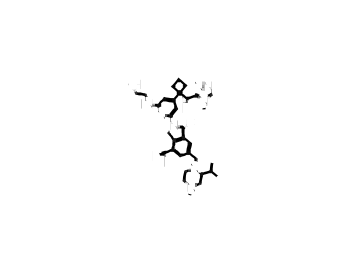 CC(C)C1CN(C)CCN1Cc1cc2c(c(C(F)(F)F)c1)CN(c1cc(C3([C@H](F)c4nncn4C)CCC3)cc(NCCO)n1)C2=O